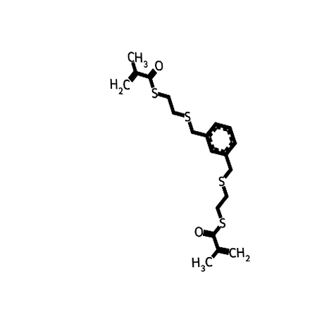 C=C(C)C(=O)SCCSCc1cccc(CSCCSC(=O)C(=C)C)c1